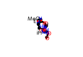 CCn1c(-c2cccnc2[C@H](C)OC)c2c3cc(ccc31)-c1cccc(c1)C[C@H](NC(=O)C(C(C)C)N(C)C(=O)[C@H]1CCN(C(=O)C#C[C@H]3CCO3)C1)C(=O)N1CCC[C@H](N1)C(=O)OCC(C)(C)C2